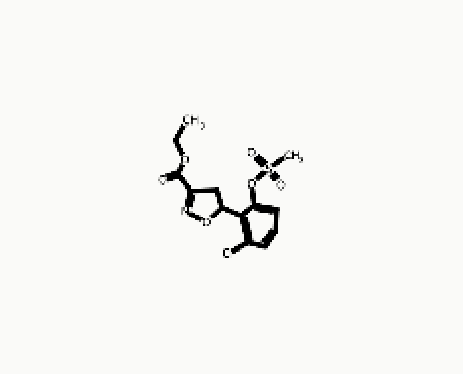 CCOC(=O)C1=NOC(c2c(Cl)cccc2OS(C)(=O)=O)C1